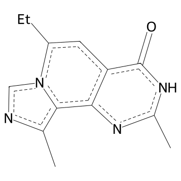 CCc1cc2c(=O)[nH]c(C)nc2c2c(C)ncn12